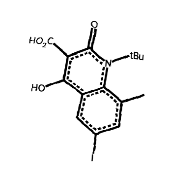 Cc1cc(I)cc2c(O)c(C(=O)O)c(=O)n(C(C)(C)C)c12